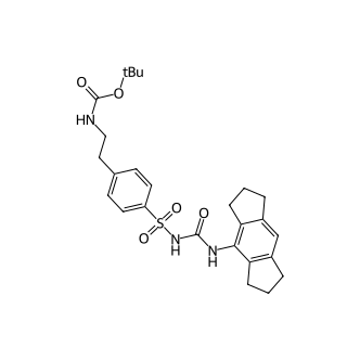 CC(C)(C)OC(=O)NCCc1ccc(S(=O)(=O)NC(=O)Nc2c3c(cc4c2CCC4)CCC3)cc1